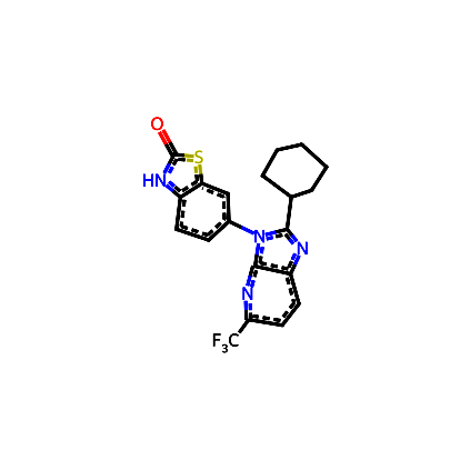 O=c1[nH]c2ccc(-n3c(C4CCCCC4)nc4ccc(C(F)(F)F)nc43)cc2s1